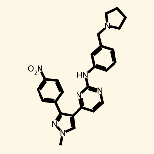 Cn1cc(-c2ccnc(Nc3cccc(CN4CCCC4)c3)n2)c(-c2ccc([N+](=O)[O-])cc2)n1